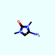 Cn1cc(N)n(C)c1=O